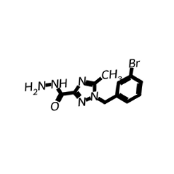 Cc1nc(C(=O)NN)nn1Cc1cccc(Br)c1